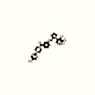 N#Cc1cnc(N2CCN(C(=O)c3cccc(OC[C@H]4CCCN4c4cn[nH]c(=O)c4C(F)(F)F)c3)CC2)nc1